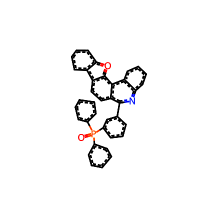 O=P(c1ccccc1)(c1ccccc1)c1cccc(-c2nc3ccccc3c3c2ccc2c4ccccc4oc23)c1